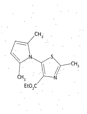 CCOC(=O)c1nc(C)sc1-n1c(C)ccc1C